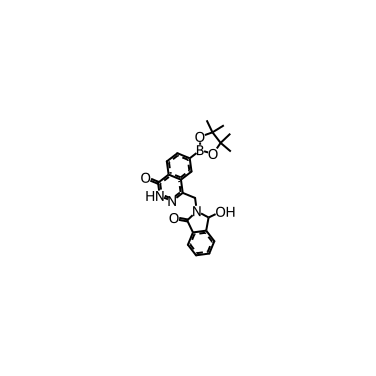 CC1(C)OB(c2ccc3c(=O)[nH]nc(CN4C(=O)c5ccccc5C4O)c3c2)OC1(C)C